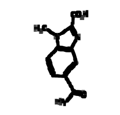 CCCC(=O)c1ccc2c(c1)nc(C(=O)O)n2C